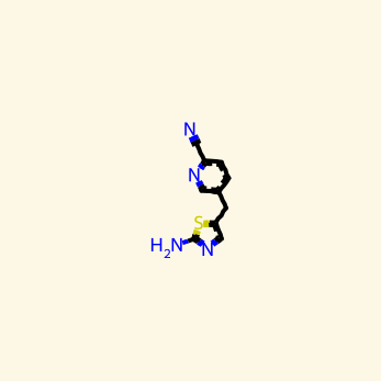 N#Cc1ccc(Cc2cnc(N)s2)cn1